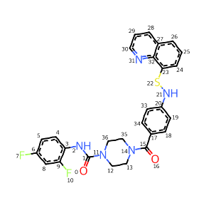 O=C(Nc1ccc(F)cc1F)N1CCN(C(=O)c2ccc(NSc3cccc4cccnc34)cc2)CC1